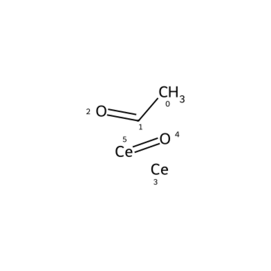 CC=O.[Ce].[O]=[Ce]